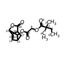 CCC(C)(C)C(=O)OCC(=O)OC1C2C=C3C(C2)C(=O)OC31